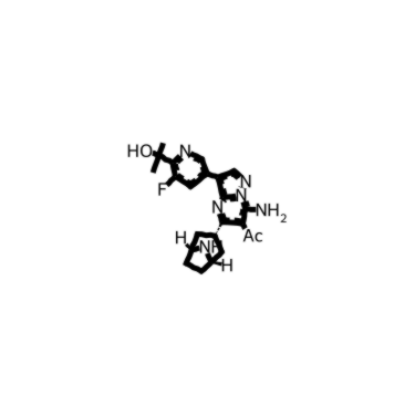 CC(=O)c1c([C@H]2C[C@H]3CC[C@@H](C2)N3)nc2c(-c3cnc(C(C)(C)O)c(F)c3)cnn2c1N